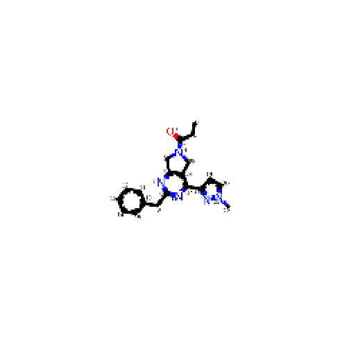 CCC(=O)N1Cc2nc(Cc3ccccc3)nc(-c3ccn(C)n3)c2C1